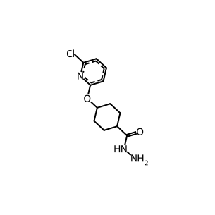 NNC(=O)C1CCC(Oc2cccc(Cl)n2)CC1